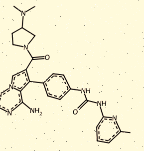 Cc1cccc(NC(=O)Nc2ccc(-c3c(C(=O)N4CCC(N(C)C)C4)cn4ncnc(N)c34)cc2)n1